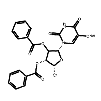 CC[C@H]1O[C@@H](n2cc(OC)c(=O)[nH]c2=O)C(OC(=O)c2ccccc2)[C@H]1OC(=O)c1ccccc1